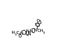 CC(=O)N1CCc2nc(N3CCN(C(C)c4ccc5c(c4)CCO5)CC3)ncc2C1